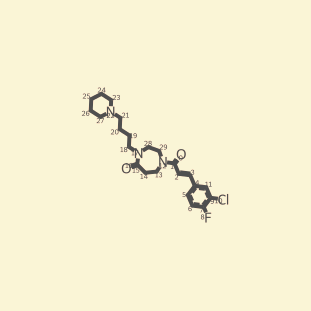 O=C(C=Cc1ccc(F)c(Cl)c1)N1CCC(=O)N(CCCCN2CCCCC2)CC1